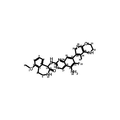 COc1cccc2c1CCNC(=O)C2Nc1ncc2c(N)c(F)c(-c3cnc4c(c3C)NCCO4)cc2n1